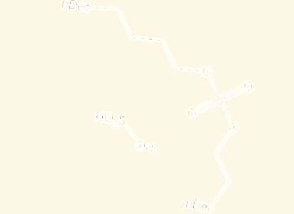 CCCCCCCCCCCCCCOS(=O)(=O)OCCCCCCCCCCCC.O=S(=O)(O)O